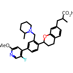 COc1cc(-c2ccc(C3CCc4ccc(CC(C)C(=O)O)cc4O3)c(CN3CCCCC3C)c2)c(F)cn1